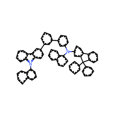 c1ccc(C2(c3ccccc3)c3ccccc3-c3ccc(N(c4cccc(-c5cccc(-c6ccc7c(c6)c6ccccc6n7-c6cccc7ccccc67)c5)c4)c4cccc5ccccc45)cc32)cc1